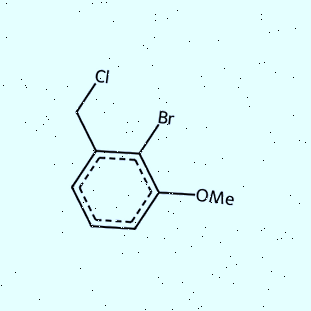 COc1cccc(CCl)c1Br